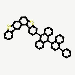 c1ccc(-c2ccc(-c3c4ccccc4c(-c4ccc5c(c4)sc4ccc6cc7sc8ccccc8c7cc6c45)c4ccccc34)c3ccccc23)cc1